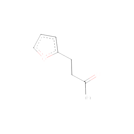 CC(C)C(=O)CCc1ccco1